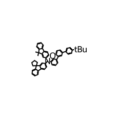 CC(C)(C)c1ccc(-c2ccc3oc4c(N(c5ccc6c(c5)C(C)(C)c5ccccc5-6)c5ccc6c(c5)C5(CCCC5)c5ccccc5-6)cccc4c3c2)cc1